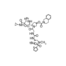 CCCC(NC(=O)[C@@H]1C[C@@H](OC(=O)N2CCc3ccccc3C2)CN1C(=O)CNC(=O)N[C@H](CN(C)S(=O)(=O)c1cccs1)C(C)(C)C)C(=O)C(=O)NC1CC1